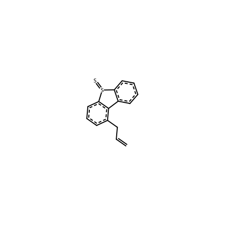 C=CCc1cccc2c1-c1ccccc1S2=S